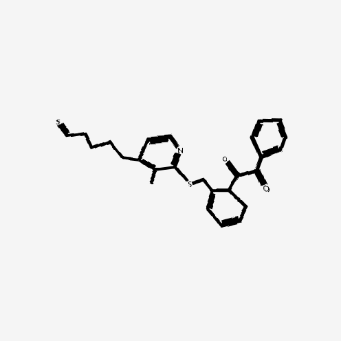 Cc1c(CCCCC=S)ccnc1SCC1=CC=CCC1C(=O)C(=O)c1ccccc1